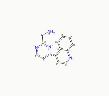 NCc1ncccn1.c1ccc2ncccc2c1